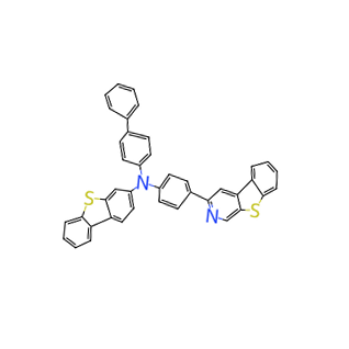 c1ccc(-c2ccc(N(c3ccc(-c4cc5c(cn4)sc4ccccc45)cc3)c3ccc4c(c3)sc3ccccc34)cc2)cc1